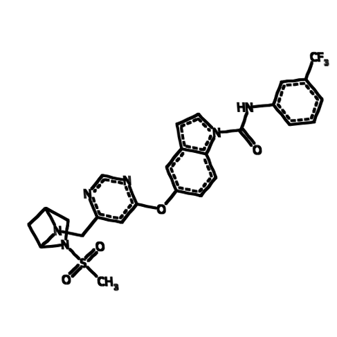 CS(=O)(=O)N1CC2CC1N2Cc1cc(Oc2ccc3c(ccn3C(=O)Nc3cccc(C(F)(F)F)c3)c2)ncn1